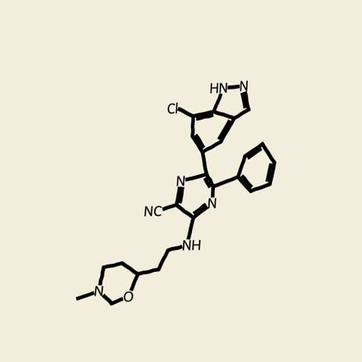 CN1CCC(CCNc2nc(-c3ccccc3)c(-c3cc(Cl)c4[nH]ncc4c3)nc2C#N)OC1